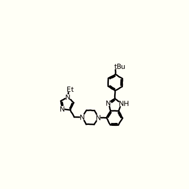 CCn1cnc(CN2CCN(c3cccc4[nH]c(-c5ccc(C(C)(C)C)cc5)nc34)CC2)c1